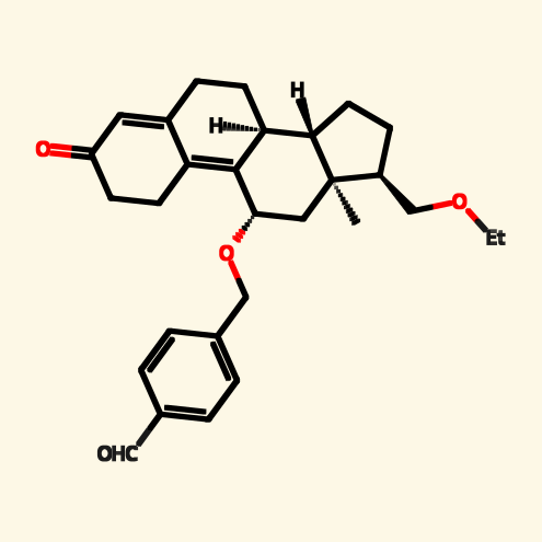 CCOC[C@@H]1CC[C@H]2[C@@H]3CCC4=CC(=O)CCC4=C3[C@@H](OCc3ccc(C=O)cc3)C[C@]12C